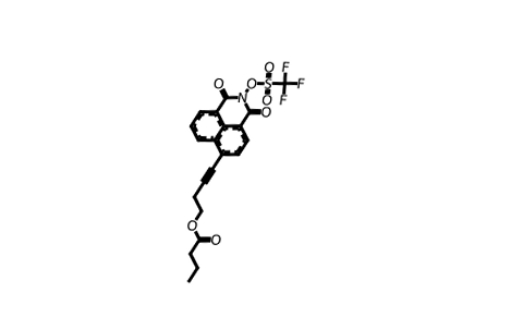 CCCC(=O)OCCC#Cc1ccc2c3c(cccc13)C(=O)N(OS(=O)(=O)C(F)(F)F)C2=O